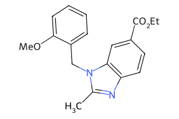 CCOC(=O)c1ccc2nc(C)n(Cc3ccccc3OC)c2c1